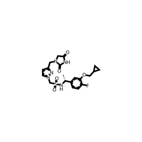 C[C@@H](NS(=O)(=O)Cn1ccc(CN2CC(=O)NC2=O)n1)c1ccc(F)c(OCC2CC2)c1